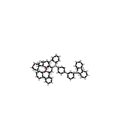 c1cc(-c2ccc(N(c3ccc4c5ccccc5c5ccccc5c4c3)c3ccccc3-c3ccc4c(c3)oc3ccccc34)cc2)cc(-n2c3ccccc3c3ccccc32)c1